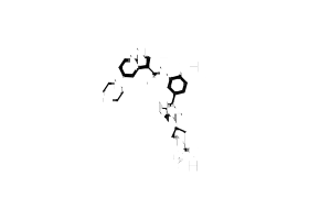 COC(=O)N1CC(n2nnc(-c3ccc(C)c(NC(=O)c4cnn5ccc(N6CCOCC6)cc45)c3)n2)C1